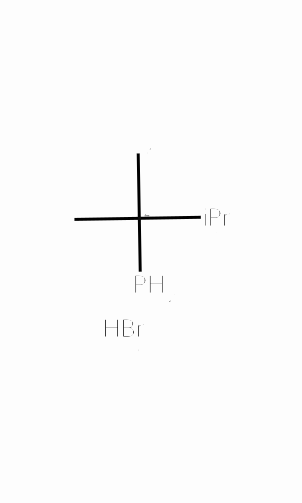 Br.CC(C)C(C)(C)P